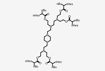 CCCCCCC(CCCC)C(=O)OCCN(CCOC(=O)C(CCCC)CCCCCC)CCN(CCOC(=O)C(CCCC)CCCCCC)CCN1CCN(CCN(CCOC(=O)C(CCCC)CCCCCC)CCOC(=O)C(CCCC)CCCCCC)CC1